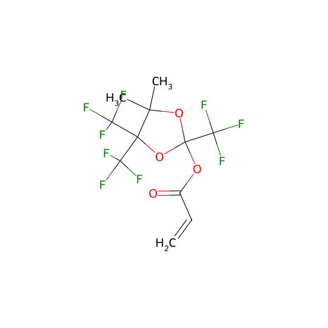 C=CC(=O)OC1(C(F)(F)F)OC(C)(C)C(C(F)(F)F)(C(F)(F)F)O1